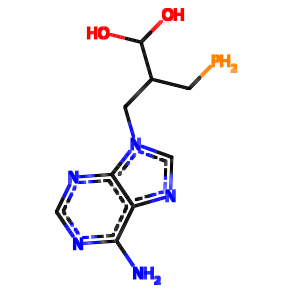 Nc1ncnc2c1ncn2CC(CP)C(O)O